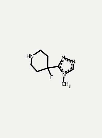 Cn1cnnc1C1(F)CCNCC1